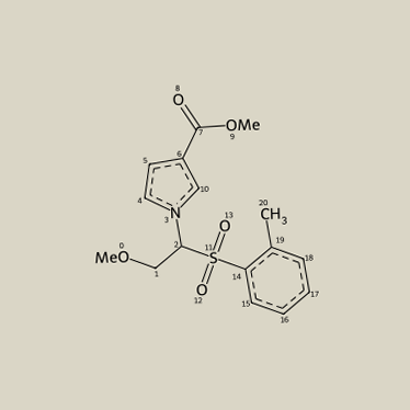 COCC(n1ccc(C(=O)OC)c1)S(=O)(=O)c1ccccc1C